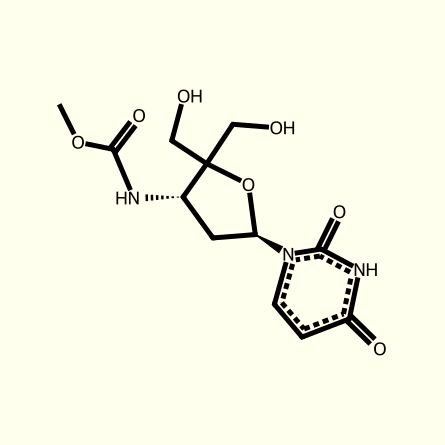 COC(=O)N[C@H]1C[C@H](n2ccc(=O)[nH]c2=O)OC1(CO)CO